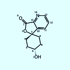 O=C1O[C@]2(CC[C@@H](O)CC2)c2cccnc21